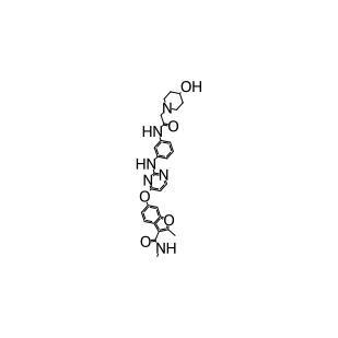 CNC(=O)c1c(C)oc2cc(Oc3ccnc(Nc4cccc(NC(=O)CN5CCC(O)CC5)c4)n3)ccc12